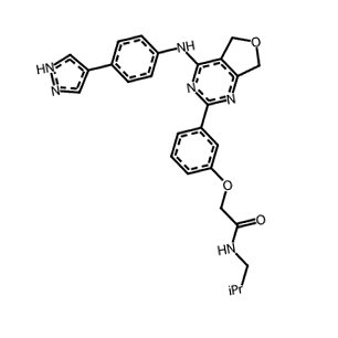 CC(C)CNC(=O)COc1cccc(-c2nc3c(c(Nc4ccc(-c5cn[nH]c5)cc4)n2)COC3)c1